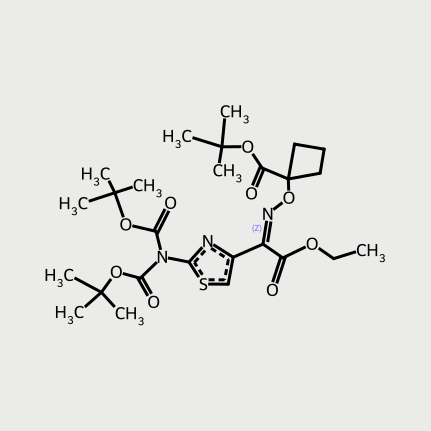 CCOC(=O)/C(=N\OC1(C(=O)OC(C)(C)C)CCC1)c1csc(N(C(=O)OC(C)(C)C)C(=O)OC(C)(C)C)n1